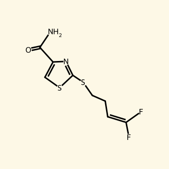 NC(=O)c1csc(SCCC=C(F)F)n1